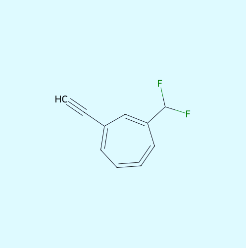 C#CC1=CC=C=CC(C(F)F)=C1